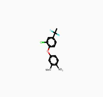 COc1cc(Oc2ccc(C(C)(F)F)cc2Cl)ccc1[N+](=O)[O-]